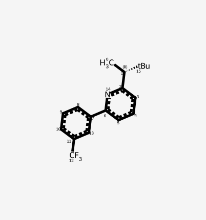 C[C@@H](c1cccc(-c2cccc(C(F)(F)F)c2)n1)C(C)(C)C